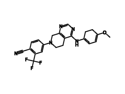 COC1=CC=C(Nc2ncnc3c2CCN(c2ccc(C#N)c(C(F)(F)F)c2)C3)CC1